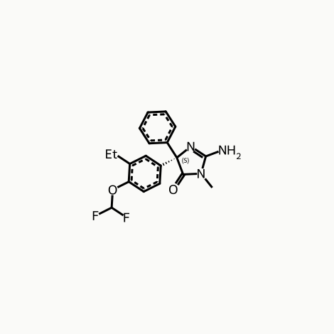 CCc1cc([C@]2(c3ccccc3)N=C(N)N(C)C2=O)ccc1OC(F)F